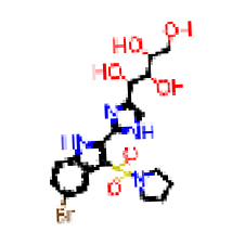 O=S(=O)(c1c(-c2nc([C@H](O)[C@@H](O)[C@@H](O)CO)c[nH]2)[nH]c2ccc(Br)cc12)N1CCCC1